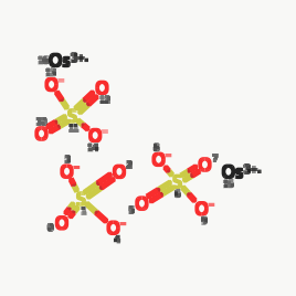 O=S(=O)([O-])[O-].O=S(=O)([O-])[O-].O=S(=O)([O-])[O-].[Os+3].[Os+3]